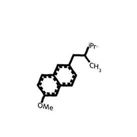 COc1ccc2cc(CC(C)[C](C)C)ccc2c1